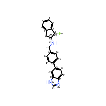 F[C@H]1c2ccccc2C[C@H]1NCc1ccc(-c2ccc3nc[nH]c3c2)cc1